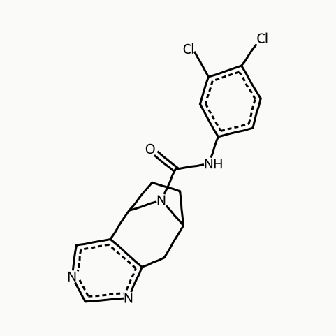 O=C(Nc1ccc(Cl)c(Cl)c1)N1C2CCC1c1cncnc1C2